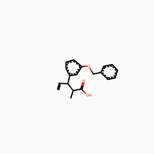 C=CC(c1cccc(OCc2ccccc2)c1)C(C)C(=O)O